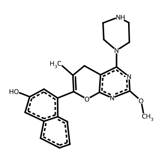 COc1nc2c(c(N3CCNCC3)n1)CC(C)=C(c1cc(O)cc3ccccc13)O2